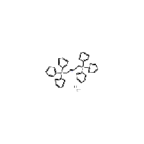 C(=C\C[P+](c1ccccc1)(c1ccccc1)c1ccccc1)/C[P+](c1ccccc1)(c1ccccc1)c1ccccc1.[Cl-].[Cl-]